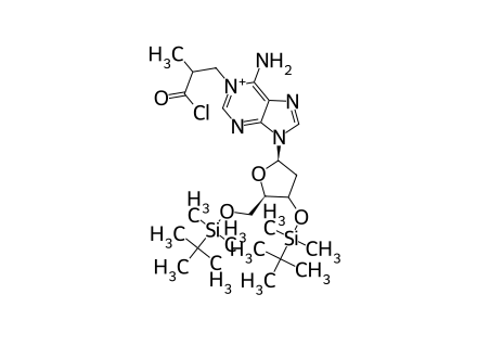 CC(C[n+]1cnc2c(ncn2[C@H]2CC(O[Si](C)(C)C(C)(C)C)[C@@H](CO[Si](C)(C)C(C)(C)C)O2)c1N)C(=O)Cl